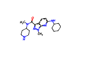 CN(C(=O)c1nn(C)c2nc(NC3CCCCC3)ccc12)C1CCNCC1